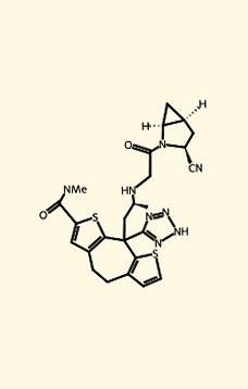 CNC(=O)c1cc2c(s1)C(C[C@H](C)NCC(=O)N1[C@H](C#N)C[C@@H]3C[C@@H]31)(c1nn[nH]n1)c1sccc1CC2